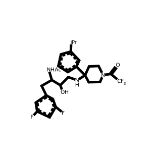 CC(=O)NC(Cc1cc(F)cc(F)c1)C(O)CNC1(c2cccc(C(C)C)c2)CCN(C(=O)C(F)(F)F)CC1